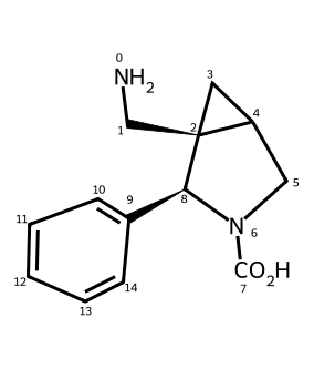 NC[C@@]12CC1CN(C(=O)O)[C@H]2c1ccccc1